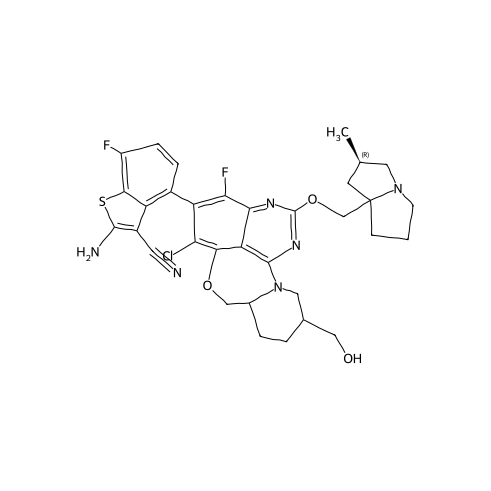 C[C@H]1CN2CCCC2(COc2nc3c4c(c(Cl)c(-c5ccc(F)c6sc(N)c(C#N)c56)c(F)c4n2)OCC2CCC(CO)CN32)C1